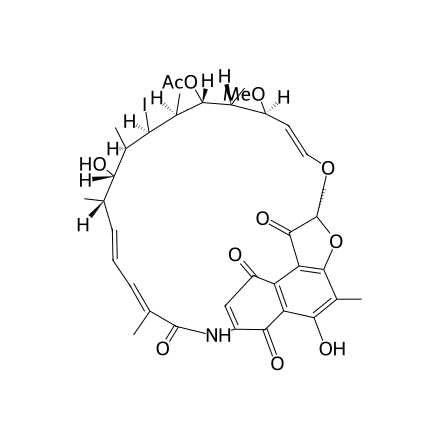 CO[C@H]1/C=C/O[C@@]2(C)Oc3c(C)c(O)c4c(c3C2=O)C(=O)C=C(NC(=O)/C(C)=C\C=C\[C@H](C)[C@H](O)[C@@H](C)[C@@H](I)[C@@H](C)[C@H](OC(C)=O)[C@@H]1C)C4=O